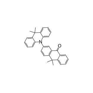 CC1(C)c2ccccc2C(=O)c2cc(N3c4ccccc4C(C)(C)c4ccccc43)ccc21